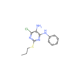 CCCSc1nc(Cl)c(N)c(Nc2ccccc2)n1